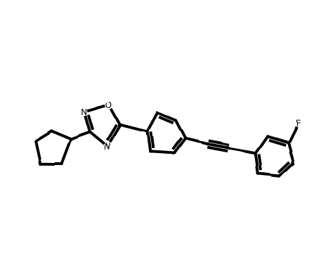 Fc1cccc(C#Cc2ccc(-c3nc(C4CCCC4)no3)cc2)c1